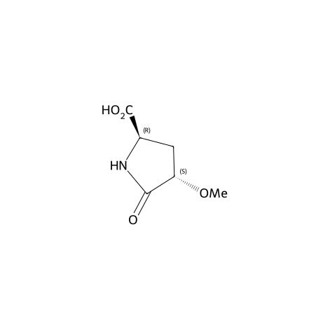 CO[C@H]1C[C@H](C(=O)O)NC1=O